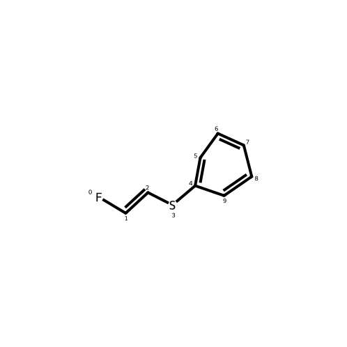 FC=CSc1ccccc1